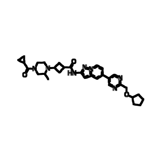 CC1CN(C(=O)C2CC2)CCN1C1CC(C(=O)Nc2cc3cc(-c4cnc(COC5CCCC5)nc4)ccn3n2)C1